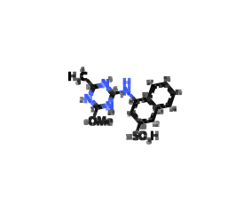 COc1nc(C)nc(Nc2cc(S(=O)(=O)O)cc3ccccc23)n1